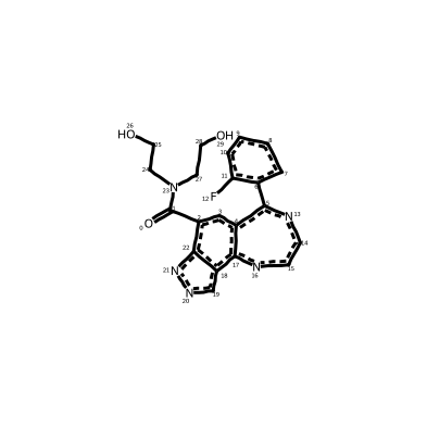 O=C(c1cc2c(-c3ccccc3F)nccnc2c2cnnc12)N(CCO)CCO